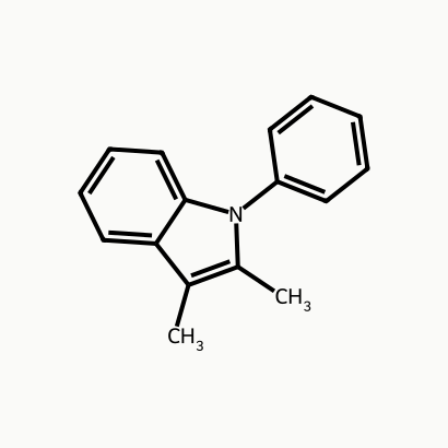 Cc1c(C)n(-c2ccccc2)c2ccccc12